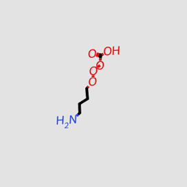 NCCCCOOOC(=O)O